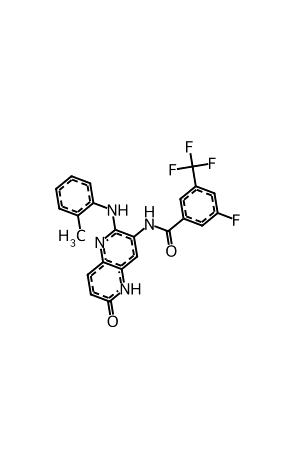 Cc1ccccc1Nc1nc2ccc(=O)[nH]c2cc1NC(=O)c1cc(F)cc(C(F)(F)F)c1